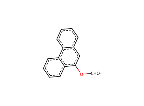 O=[C]Oc1cc2ccccc2c2ccccc12